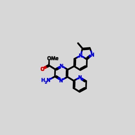 COC(=O)c1nc(-c2ccc3ncc(C)n3c2)c(-c2ccccn2)nc1N